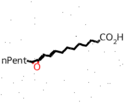 CCCCCC1OC1=CC=CCCCCCCCC(=O)O